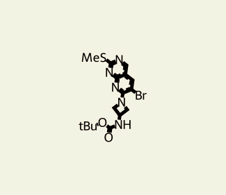 CSc1ncc2cc(Br)c(N3CC(NC(=O)OC(C)(C)C)C3)nc2n1